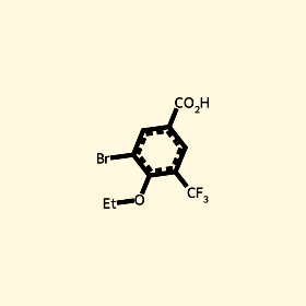 CCOc1c(Br)cc(C(=O)O)cc1C(F)(F)F